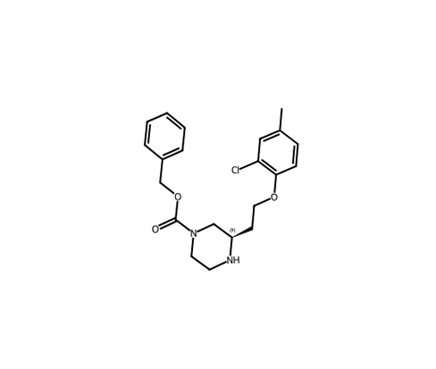 Cc1ccc(OCC[C@@H]2CN(C(=O)OCc3ccccc3)CCN2)c(Cl)c1